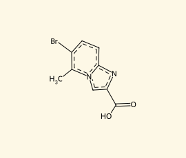 Cc1c(Br)ccc2nc(C(=O)O)cn12